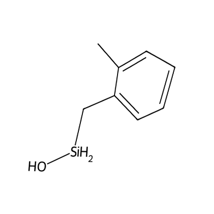 Cc1ccccc1C[SiH2]O